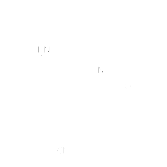 NCc1cn(C(=O)c2ccc(Cl)cc2)c2ccccc12